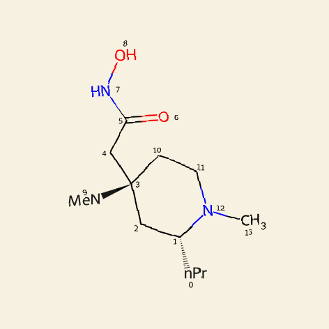 CCC[C@@H]1C[C@@](CC(=O)NO)(NC)CCN1C